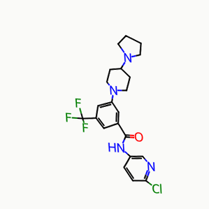 O=C(Nc1ccc(Cl)nc1)c1cc(N2CCC(N3CCCC3)CC2)cc(C(F)(F)F)c1